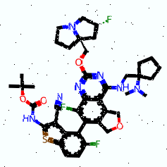 CN(C)C1(CNc2nc(OC[C@@]34CCCN3C[C@H](F)C4)nc3c(F)c(-c4c(F)ccc5sc(NC(=O)OC(C)(C)C)c(C#N)c45)c4c(c23)COC4)CCCC1